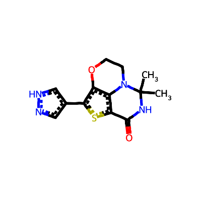 CC1(C)NC(=O)c2sc(-c3cn[nH]c3)c3c2N1CCO3